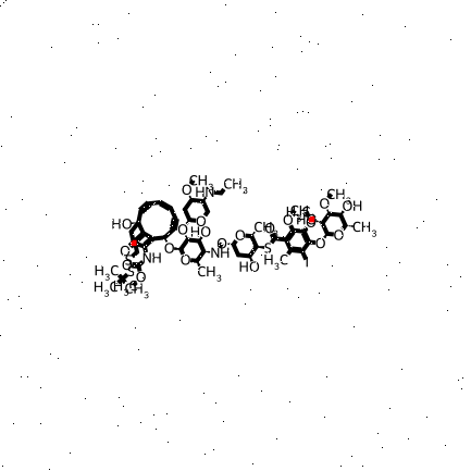 CCN[C@H]1CO[C@@H](O[C@H]2[C@H](O[C@H]3C#C/C=C\C#C[C@]4(O)CC(=O)C(NC(=O)OC)=C3/C4=C\CSSC(C)(C)C)O[C@H](C)[C@@H](NO[C@H]3C[C@H](O)[C@H](SC(=O)c4c(C)c(I)c(O[C@@H]5O[C@@H](C)[C@H](O)[C@@H](OC)[C@H]5O)c(OC)c4OC)[C@@H](C)O3)[C@@H]2O)C[C@@H]1OC